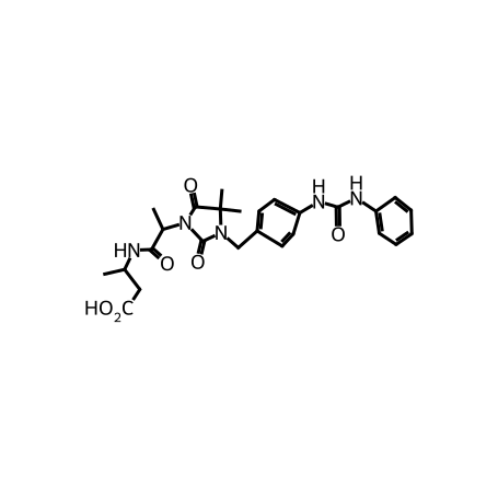 CC(CC(=O)O)NC(=O)C(C)N1C(=O)N(Cc2ccc(NC(=O)Nc3ccccc3)cc2)C(C)(C)C1=O